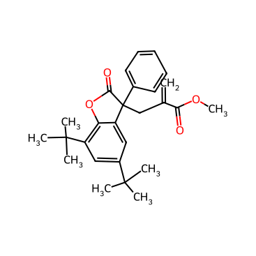 C=C(CC1(c2ccccc2)C(=O)Oc2c(C(C)(C)C)cc(C(C)(C)C)cc21)C(=O)OC